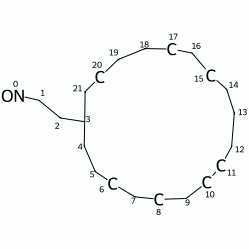 O=NCCC1CCCCCCCCCCCCCCCCCC1